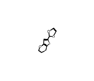 c1c(C2OCCO2)sc2c1OCCC2